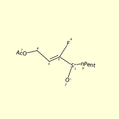 CCCCC[S+]([O-])C(F)=CCOC(C)=O